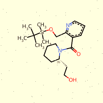 CC(C)(C)[Si](C)(C)OCc1ncccc1C(=O)N1CCCC[C@H]1CCO